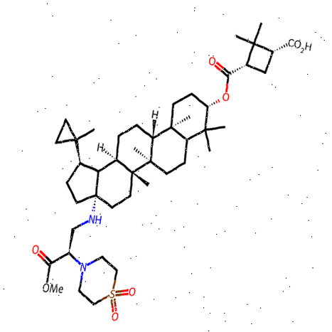 COC(=O)[C@@H](CN[C@]12CC[C@@H](C3(C)CC3)C1[C@H]1CC[C@@H]3[C@@]4(C)CC[C@H](OC(=O)[C@H]5C[C@@H](C(=O)O)C5(C)C)C(C)(C)C4CC[C@@]3(C)[C@]1(C)CC2)N1CCS(=O)(=O)CC1